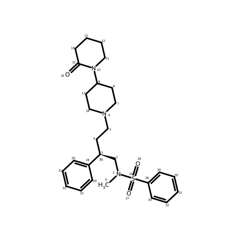 CN(C[C@H](CCN1CCC(N2CCCCC2=O)CC1)c1ccccc1)S(=O)(=O)c1ccccc1